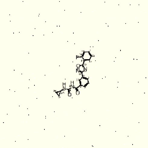 O=C(NC(=O)c1cccc(-c2noc(-c3ccccc3F)n2)c1)NC1CC1